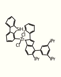 CC(C)c1cc(-c2c(C(C)C)ccc3c2C=C(c2ccccc2)[CH]3[Zr]([Cl])([Cl])[c]2cccc3c2[SiH2]c2ccccc2-3)cc(C(C)C)c1